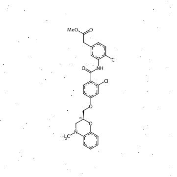 COC(=O)Cc1ccc(Cl)c(NC(=O)c2ccc(OC[C@@H]3CN(C)c4ccccc4O3)cc2Cl)c1